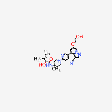 CC(C)C(O)C(=O)NC1(C)CCN(c2ccc(-c3cc(OCCO)cn4ncc(C#N)c34)cn2)CC1